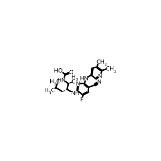 Cc1cc(Nc2nc(N[C@H](CC(C)C)[C@H](C)NC(=O)O)c(F)cc2C#N)cnc1C